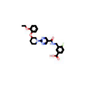 CCOc1ccccc1OC1CCCN(c2ncc(C(=O)NCc3cc(C(=O)O)ccc3F)cn2)C1